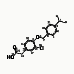 CC(C)c1ccc(COc2ccc(CC(=O)O)cc2Cl)cc1